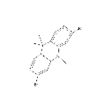 CN1c2cc(Br)ccc2C(C)(C)C2C=CC(Br)=CC21